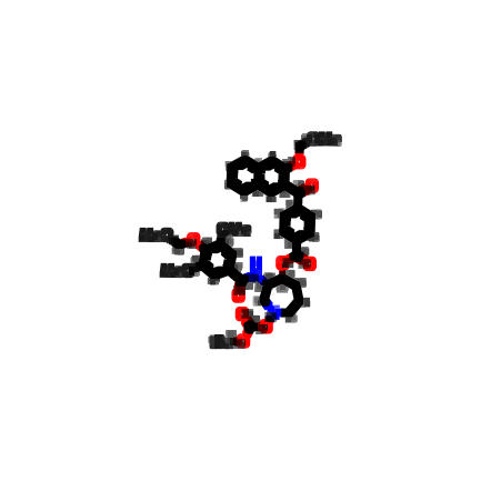 COCOc1cc2ccccc2cc1C(=O)c1ccc(C(=O)O[C@@H]2CCCN(OC(=O)OC(C)(C)C)C[C@H]2NC(=O)c2cc(OC)c(OCOC)c(OC)c2)cc1